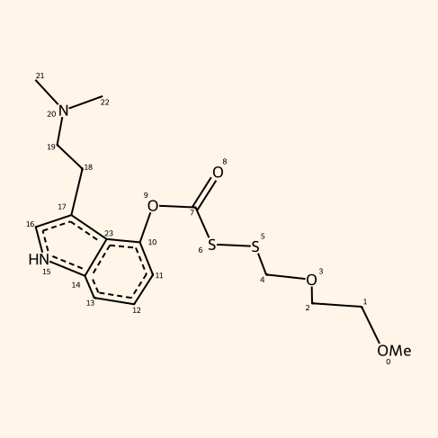 COCCOCSSC(=O)Oc1cccc2[nH]cc(CCN(C)C)c12